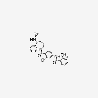 Cc1ccccc1C(=O)Nc1ccc(C(=O)N2CCCC(NC3CC3)c3ccccc32)c(Cl)c1